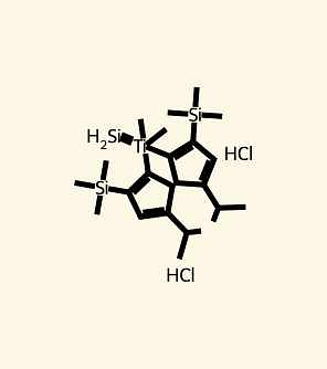 CC(C)C1=CC([Si](C)(C)C)=[C]([Ti]([CH3])([CH3])(=[SiH2])[C]2=C([Si](C)(C)C)C=C(C(C)C)C2)C1.Cl.Cl